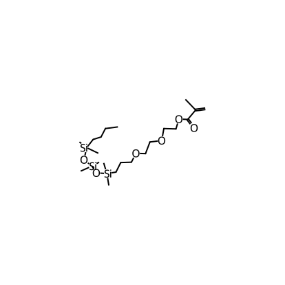 C=C(C)C(=O)OCCOCCOCCC[Si](C)(C)O[Si](C)(C)O[Si](C)(C)CCCC